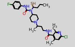 CCCC(S)N(C(=O)Nc1ccc(F)cc1)C1CCN(C(C)CCNC(=O)c2c(C)cc(Cl)nc2C)CC1